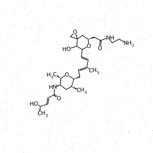 CC(=CC[C@@H]1O[C@H](C)[C@H](NC(=O)/C=C/[C@@H](C)O)C[C@@H]1C)/C=C/C1O[C@H](CC(=O)NCCN)CC2(CO2)C1O